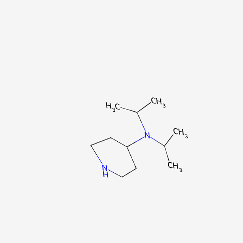 CC(C)N(C(C)C)C1CCNCC1